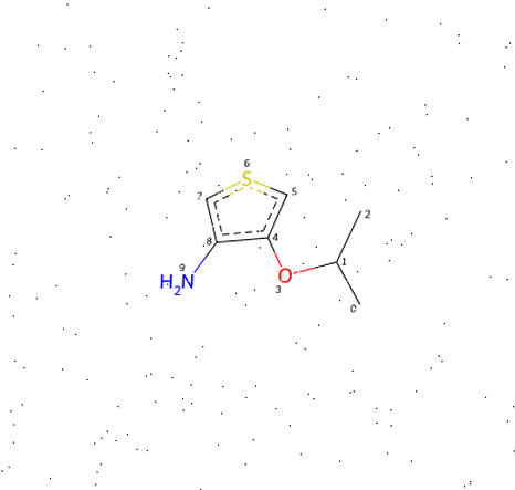 CC(C)Oc1cscc1N